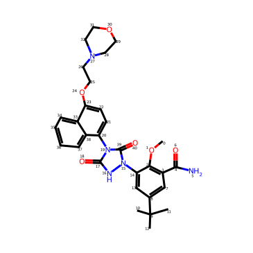 COc1c(C(N)=O)cc(C(C)(C)C)cc1-n1[nH]c(=O)n(-c2ccc(OCCN3CCOCC3)c3ccccc23)c1=O